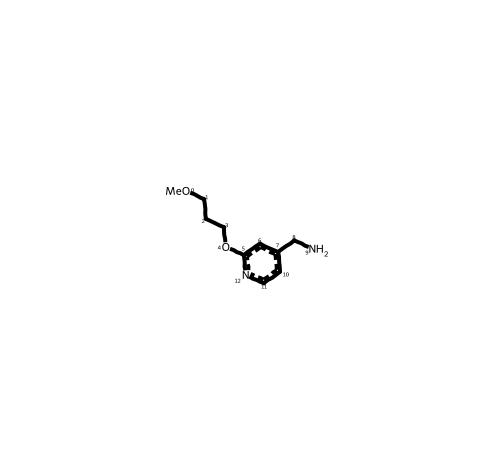 COCCCOc1cc(CN)ccn1